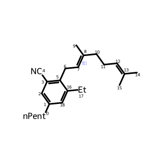 CCCCCc1cc(C#N)c(C/C=C(\C)CCC=C(C)C)c(CC)c1